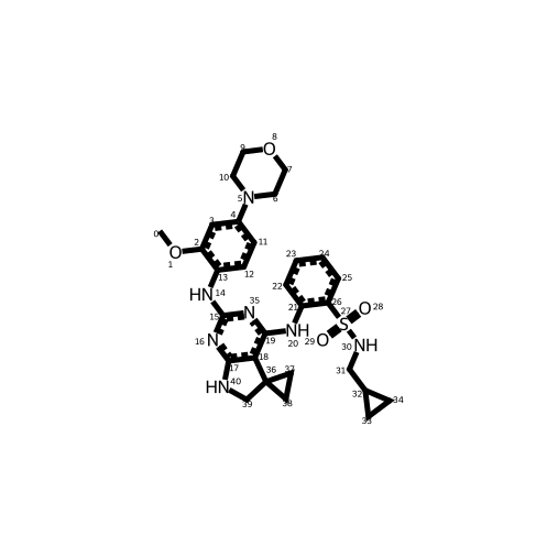 COc1cc(N2CCOCC2)ccc1Nc1nc2c(c(Nc3ccccc3S(=O)(=O)NCC3CC3)n1)C1(CC1)CN2